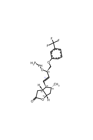 C[C@@H]1C[C@@H]2OC(=O)C[C@@H]2[C@H]1/C=C/[C@H](COc1cccc(C(F)(F)F)c1)OPP